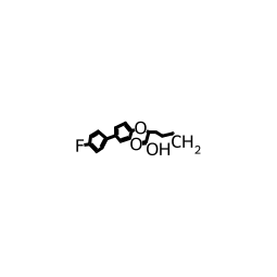 C=CCCC(Oc1ccc(-c2ccc(F)cc2)cc1)C(=O)O